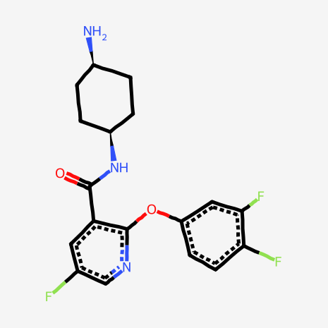 N[C@H]1CC[C@@H](NC(=O)c2cc(F)cnc2Oc2ccc(F)c(F)c2)CC1